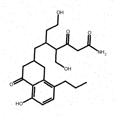 CCCc1ccc(O)c2c1CC(CC(CCO)C(CO)C(=O)CC(N)=O)CC2=O